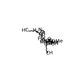 C#CCCCCC#Cc1cn(C2OC(CNP(=O)(OCCCCC#C)OP(=O)(OC)OP(=O)(O)OC)C(O)C2F)c2nccc(N)c12